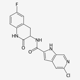 O=C(NC1Cc2cc(F)ccc2NC1=O)c1cc2cc(Cl)ncc2[nH]1